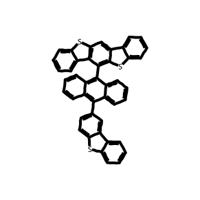 c1ccc2c(c1)sc1ccc(-c3c4ccccc4c(-c4c5sc6ccccc6c5cc5sc6ccccc6c45)c4ccccc34)cc12